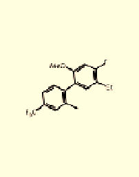 CCc1cc(-c2ccc(C(F)(F)F)cc2C)c(OC)cc1F